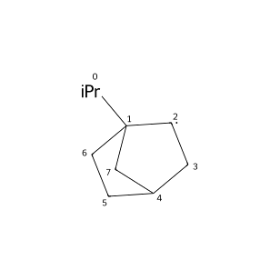 CC(C)C12[CH]CC(CC1)C2